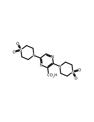 O=C(O)c1nc(N2CCS(=O)(=O)CC2)cnc1N1CCS(=O)(=O)CC1